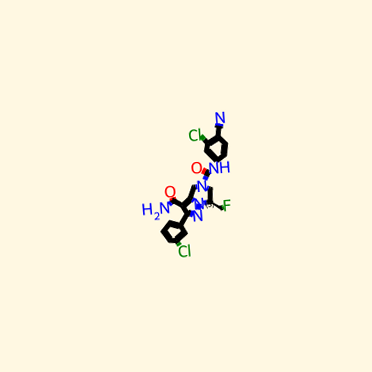 N#Cc1ccc(NC(=O)N2Cc3c(C(N)=O)c(-c4cccc(Cl)c4)nn3[C@H](CF)C2)cc1Cl